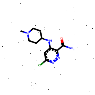 CN1CCC(Nc2cc(Cl)nnc2C(N)=O)CC1